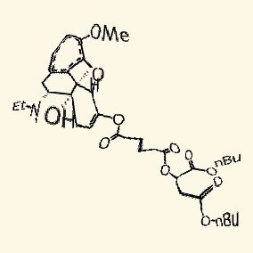 CCCCOC(=O)C[C@@H](OC(=O)CCC(=O)OC1=CC[C@@]2(O)[C@H](N(C)CC)Cc3ccc(OC)c4c3[C@@]2(C)[C@H]1O4)C(=O)OCCCC